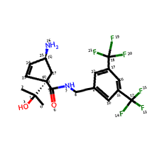 CC(C)(O)[C@]1(C(=O)NCc2cc(C(F)(F)F)cc(C(F)(F)F)c2)C=C[C@@H](N)C1